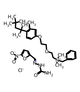 Cc1cc(OCCOCC[N+](C)(C)Cc2ccccc2)ccc1C(C)(C)CC(C)(C)C.NC(=O)N/N=C/c1ccc([N+](=O)[O-])o1.[Cl-]